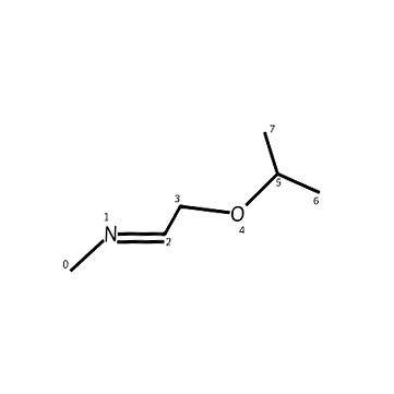 CN=CCOC(C)C